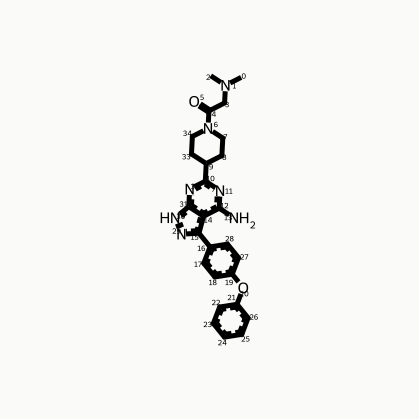 CN(C)CC(=O)N1CCC(c2nc(N)c3c(-c4ccc(Oc5ccccc5)cc4)n[nH]c3n2)CC1